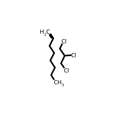 C=CCCCCCC.ClCC(Cl)CCl